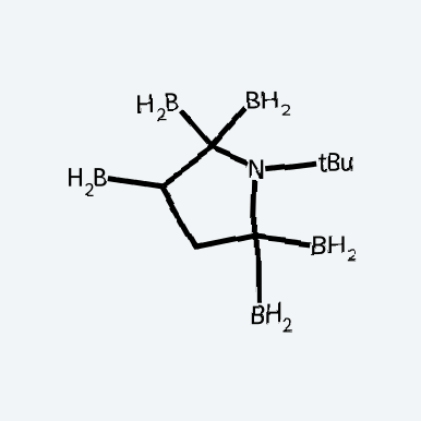 BC1CC(B)(B)N(C(C)(C)C)C1(B)B